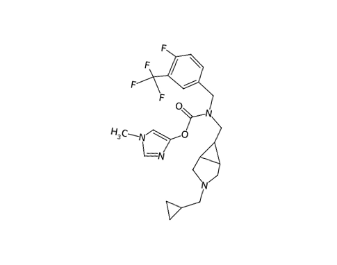 Cn1cnc(OC(=O)N(Cc2ccc(F)c(C(F)(F)F)c2)CC2C3CN(CC4CC4)CC32)c1